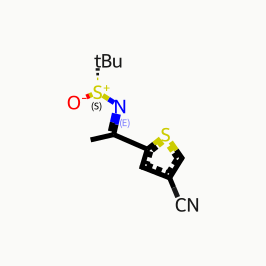 C/C(=N\[S@+]([O-])C(C)(C)C)c1cc(C#N)cs1